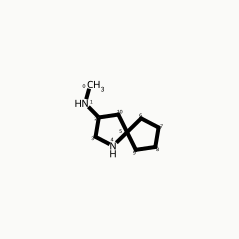 CNC1CNC2(CCCC2)C1